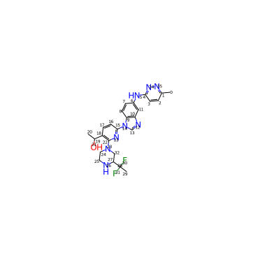 Cc1ccc(Nc2ccc3c(c2)ncn3-c2ccc(C(C)O)c(N3CCNC(C(C)(F)F)C3)n2)nn1